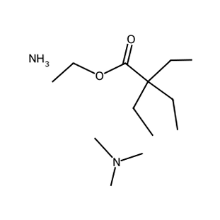 CCOC(=O)C(CC)(CC)CC.CN(C)C.N